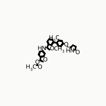 CC(=O)O[C@@H]1COc2cc(N[C@@H]3COc4c(-c5c(C)cc(OC[C@@H]6CCC(=O)N6)cc5C)cccc43)ccc21